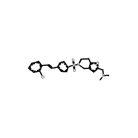 CN(C)Cc1cc2c(o1)CCN(S(=O)(=O)c1ccc(C=Cc3ccccc3Cl)cc1)C2